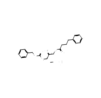 O=C(O)C[C@H](NC(=O)OCc1ccccc1)C(=O)COC(=O)CCCc1ccccc1